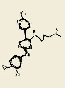 CN(C)CCCNc1nc(Nc2ccc(F)c(Cl)c2)ncc1-c1cnc(N)nc1